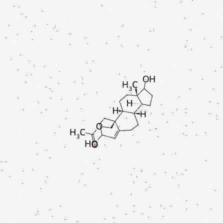 CC(=O)OC[C@]12CCC(O)C=C1CC[C@@H]1[C@H]2CC[C@]2(C)C(O)CC[C@@H]12